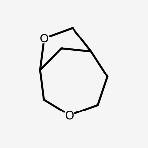 C1CC2COC(CO1)C2